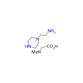 CNCC(=O)O.NCCN1CCNCC1